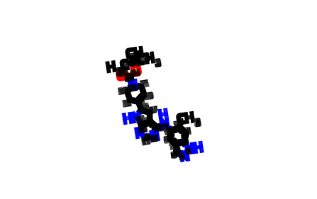 Cc1cc2[nH]ncc2cc1Nc1ncnc2c1CC(C1=CCN(C(=O)OC(C)(C)C)CC1)N2